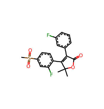 CC1(C)OC(=O)C(c2cccc(F)c2)=C1c1ccc(S(C)(=O)=O)cc1F